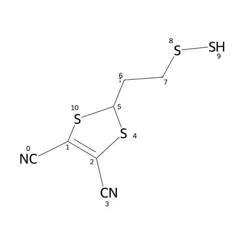 N#CC1=C(C#N)SC([C]CSS)S1